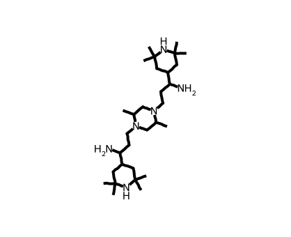 CC1CN(CCC(N)C2CC(C)(C)NC(C)(C)C2)C(C)CN1CCC(N)C1CC(C)(C)NC(C)(C)C1